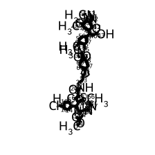 COC(=O)C[C@@H]1N=C(c2ccc(Cl)cc2)c2c(sc(C(=O)NCCCOc3ccc(S(=O)(=O)N(C)Cc4cc(C(CC(=O)O)c5cc(OC)c6c(c5)nnn6C)ccc4C)cc3)c2C)-n2c(C)nnc21